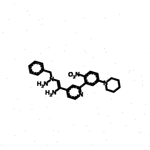 N/C(=C\N(N)Cc1ccccc1)c1ccnc(-c2cc(N3CCCCC3)ccc2[N+](=O)[O-])c1